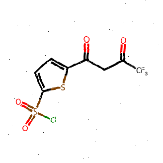 O=C(CC(=O)C(F)(F)F)c1ccc(S(=O)(=O)Cl)s1